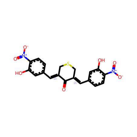 O=C1/C(=C/c2ccc([N+](=O)[O-])c(O)c2)CSC/C1=C\c1ccc([N+](=O)[O-])c(O)c1